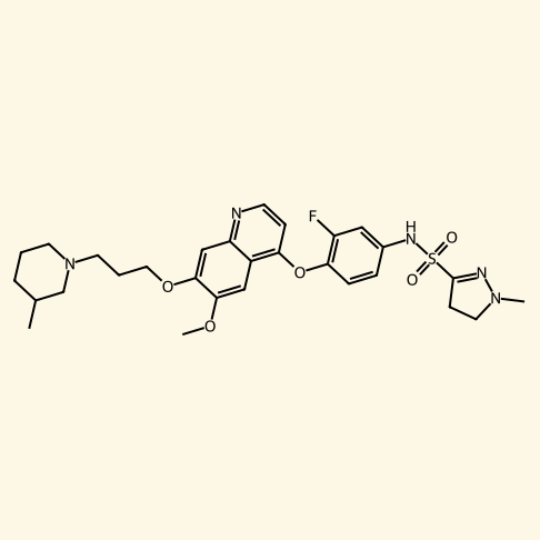 COc1cc2c(Oc3ccc(NS(=O)(=O)C4=NN(C)CC4)cc3F)ccnc2cc1OCCCN1CCCC(C)C1